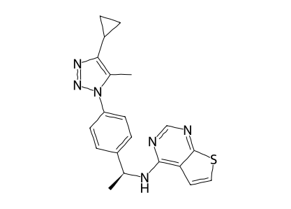 Cc1c(C2CC2)nnn1-c1ccc([C@H](C)Nc2ncnc3sccc23)cc1